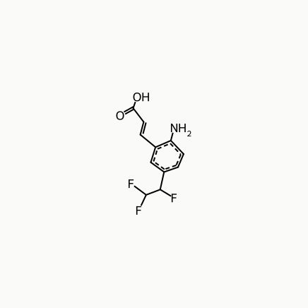 Nc1ccc(C(F)C(F)F)cc1C=CC(=O)O